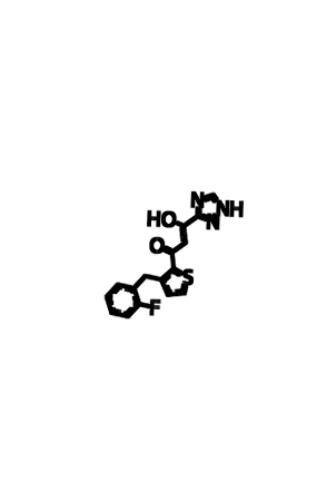 O=C(C=C(O)c1nc[nH]n1)c1sccc1Cc1ccccc1F